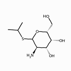 CC(C)SC1O[C@H](CO)[C@H](O)[C@H](O)[C@H]1N